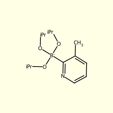 Cc1cccnc1[B-](OC(C)C)(OC(C)C)OC(C)C